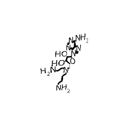 NCCCCN(CCN)C[C@H]1O[C@@H](n2cnc3c(N)ncnc32)[C@H](O)[C@@H]1O